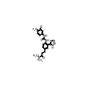 CN(C)C(=O)CCc1ccc(NC(=O)Nc2ccc(C(F)(F)F)c(Cl)c2)c(-c2nnn[nH]2)c1